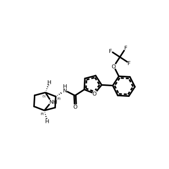 O=C(N[C@@H]1C[C@H]2CC[C@@H]1N2)c1ccc(-c2ccccc2OC(F)(F)F)o1